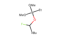 CCCCC(F)O[Si](CC)(OC)OC